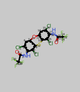 O=C(Nc1c(Cl)cc2c(c1Cl)Sc1c(cc(Cl)c(NC(=O)C(F)(F)F)c1Cl)O2)C(F)(F)F